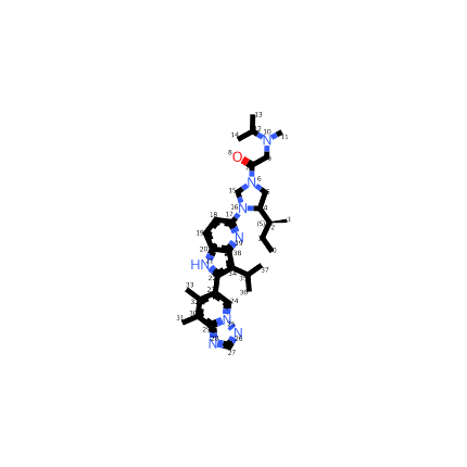 CC[C@H](C)C1CN(C(=O)CN(C)C(C)C)CN1c1ccc2[nH]c(-c3cn4ncnc4c(C)c3C)c(C(C)C)c2n1